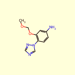 COCOc1cc(N)ccc1-n1cncn1